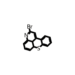 BrC1=NC2=CC=CC3Sc4ccccc4C(=C1)C23